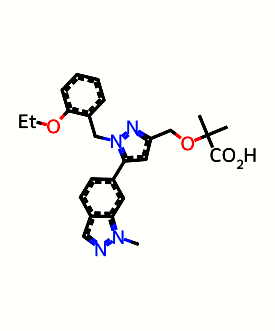 CCOc1ccccc1Cn1nc(COC(C)(C)C(=O)O)cc1-c1ccc2cnn(C)c2c1